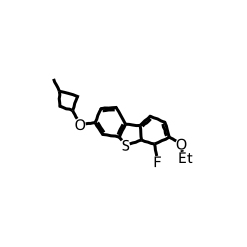 CCOC1=CC=C2c3ccc(OC4CC(C)C4)cc3SC2C1F